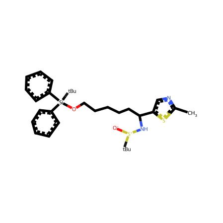 Cc1ncc(C(CCCCCO[Si](c2ccccc2)(c2ccccc2)C(C)(C)C)N[S+]([O-])C(C)(C)C)s1